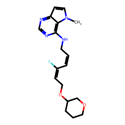 Cn1ccc2ncnc(NC/C=C\C(F)=C/COC3CCCOC3)c21